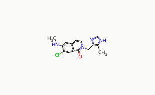 CNc1cc2ccn(Cc3nc[nH]c3C)c(=O)c2cc1Cl